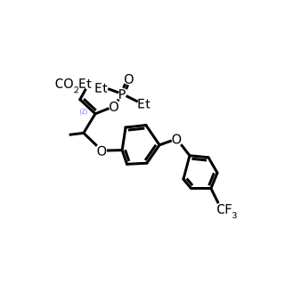 CCOC(=O)/C=C(\OP(=O)(CC)CC)C(C)Oc1ccc(Oc2ccc(C(F)(F)F)cc2)cc1